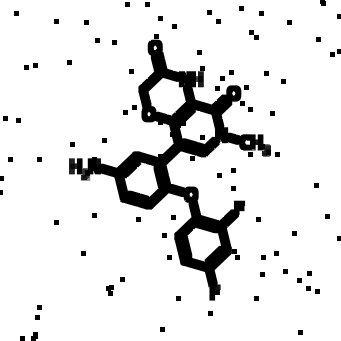 Cn1cc(-c2cc(N)ccc2Oc2ccc(F)cc2F)c2c(c1=O)NC(=O)CO2